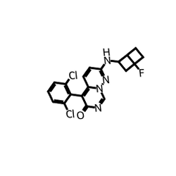 O=c1ncn2nc(NC3CC4(F)CCC34)ccc2c1-c1c(Cl)cccc1Cl